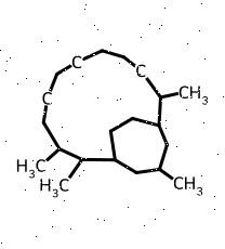 CC1CC2CCC(C1)C(C)C(C)CCCCCCCC2C